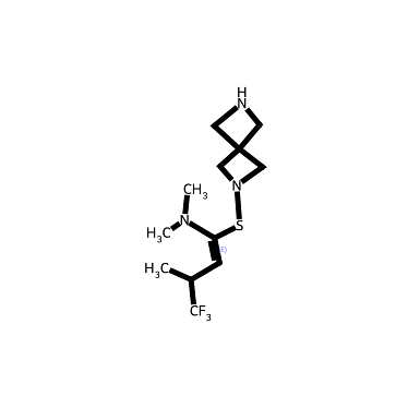 CC(/C=C(/SN1CC2(CNC2)C1)N(C)C)C(F)(F)F